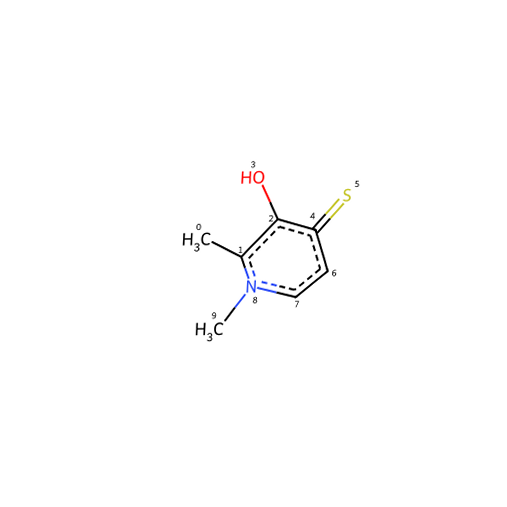 Cc1c(O)c(=S)ccn1C